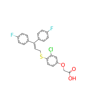 O=C(O)COc1ccc(SCC=C(c2ccc(F)cc2)c2ccc(F)cc2)c(Cl)c1